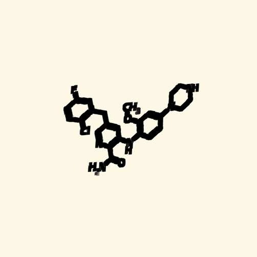 COc1cc(N2CCNCC2)ccc1Nc1cc(Cc2cc(F)ccc2Cl)cnc1C(N)=O